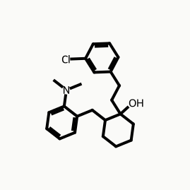 CN(C)c1ccccc1CC1CCCCC1(O)CCc1cccc(Cl)c1